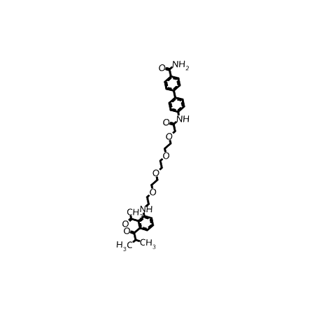 CC(=O)c1c(NCCOCCOCCOCCOCC(=O)Nc2ccc(-c3ccc(C(N)=O)cc3)cc2)cccc1C(=O)C(C)C